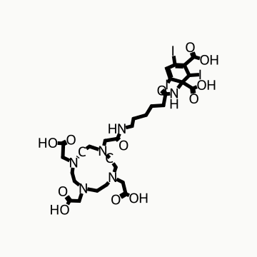 O=C(O)CN1CCN(CC(=O)O)CCN(CC(=O)NCCCCCC(=O)NC2(C(=O)O)C(I)=CC(I)=C(C(=O)O)C2I)CCN(CC(=O)O)CC1